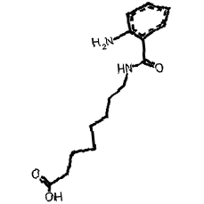 Nc1ccccc1C(=O)NCCCCCCCC(=O)O